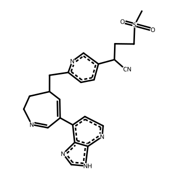 CS(=O)(=O)CCC(C#N)c1ccc(CC2C=C(c3ccnc4[nH]cnc34)C=NCC2)nc1